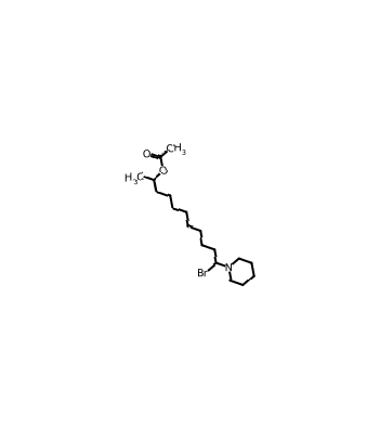 CC(=O)OC(C)CCCCCCCCC(Br)N1CCCCC1